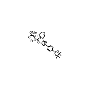 COC(=O)N[C@H](C(=O)N1CCOC[C@H]1c1nc(-c2ccc(B3OC(C)(C)C(C)(C)O3)cc2)c[nH]1)C(C)C